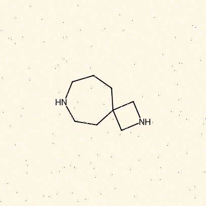 C1CNCCC2(C1)CNC2